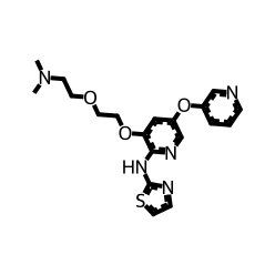 CN(C)CCOCCOc1cc(Oc2cccnc2)cnc1Nc1nccs1